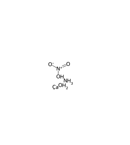 N.O.O=[N+]([O-])O.[Ca]